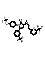 CN(CCc1cccc(C(F)(F)F)n1)C1CC(c2cccc(C(F)(F)F)c2)N(c2ccc(OC(F)(F)F)cc2)C1=O